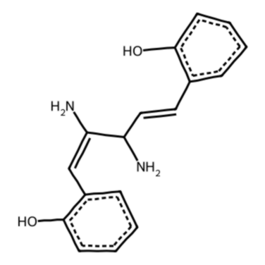 N/C(=C/c1ccccc1O)C(N)/C=C/c1ccccc1O